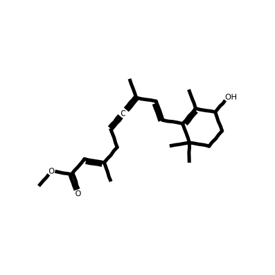 COC(=O)C=C(C)CC=C=C(C)C=CC1=C(C)C(O)CCC1(C)C